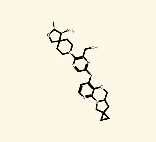 C[C@@H]1OCC2(CCN(c3ncc(Sc4ccnc5c4OCC4CC6(CC6)CN54)nc3CO)CC2)[C@@H]1N